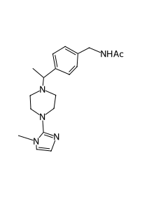 CC(=O)NCc1ccc(C(C)N2CCN(c3nccn3C)CC2)cc1